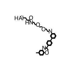 [CH3][AlH][CH2]CC(=O)NCCOCCOCCN(C)c1cccc(-c2ccc(C3=Nc4cc(C)ccc4OC3)cc2)c1